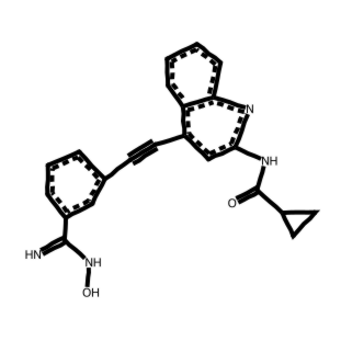 N=C(NO)c1cccc(C#Cc2cc(NC(=O)C3CC3)nc3ccccc23)c1